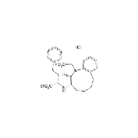 CCOC(=O)[C@H](CCc1ccccc1)N[C@H]1CCCCc2ccccc2N(CC(=O)O)C1=O.Cl